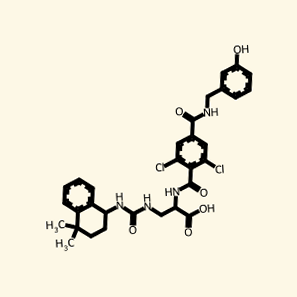 CC1(C)CCC(NC(=O)NCC(NC(=O)c2c(Cl)cc(C(=O)NCc3cccc(O)c3)cc2Cl)C(=O)O)c2ccccc21